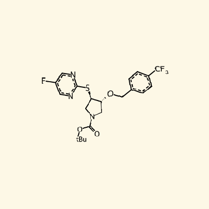 CC(C)(C)OC(=O)N1C[C@@H](OCc2ccc(C(F)(F)F)cc2)[C@H](Sc2ncc(F)cn2)C1